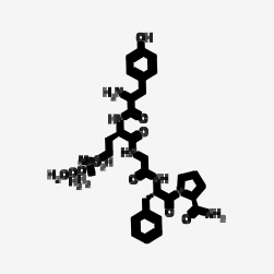 CC(=O)O.CSCC[C@@H](NC(=O)C(N)Cc1ccc(O)cc1)C(=O)NCC(=O)N[C@@H](Cc1ccccc1)C(=O)N1CCC[C@H]1C(N)=O.O.O.O